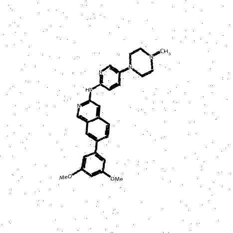 COc1cc(OC)cc(-c2ccc3cc(Nc4ccc(N5CCN(C)CC5)cn4)ncc3c2)c1